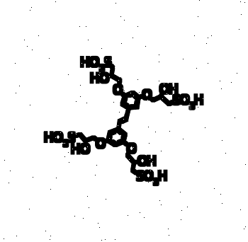 O=S(=O)(O)CC(O)COc1cc(/C=C/c2cc(OCC(O)CS(=O)(=O)O)cc(OCC(O)CS(=O)(=O)O)c2)cc(OCC(O)CS(=O)(=O)O)c1